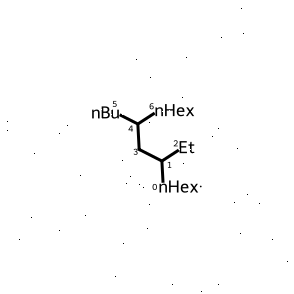 CCCCC[CH]C(CC)CC(CCCC)CCCCCC